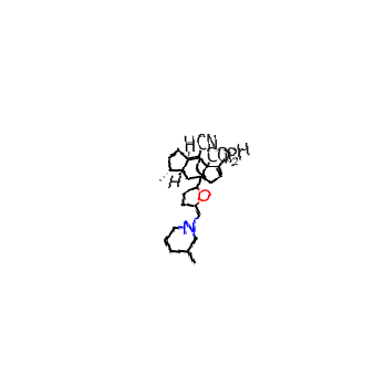 CC1CCCN(CC2CCC(C34C[C@@H]5[C@H](C)CC[C@H]5C5(C#N)CC3C=C(C(C)C)C45C(=O)O)O2)C1